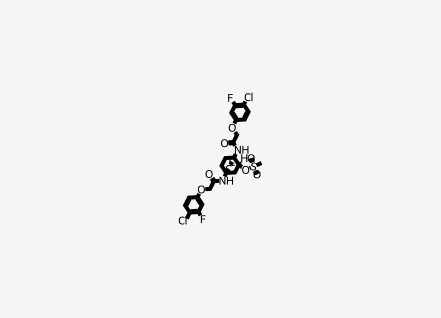 CS(=O)(=O)O[C@@H]1CC2(NC(=O)COc3ccc(Cl)c(F)c3)CCC1(NC(=O)COc1ccc(Cl)c(F)c1)CC2